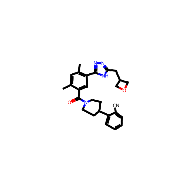 Cc1cc(C)c(-c2nnc(CC3COC3)[nH]2)cc1C(=O)N1CCC(c2ccccc2C#N)CC1